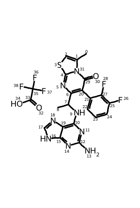 Cc1csc2nc(C(C)Nc3nc(N)nc4[nH]cnc34)c(-c3cccc(F)c3F)c(=O)n12.O=C(O)C(F)(F)F